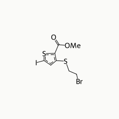 COC(=O)c1sc(I)cc1SCCBr